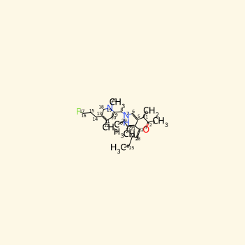 C=C(C(C)=O)C(=C/NCC1=CC(C)=C(CCCF)CN1C)/C(/C=C\CCC)=C(/C)CC